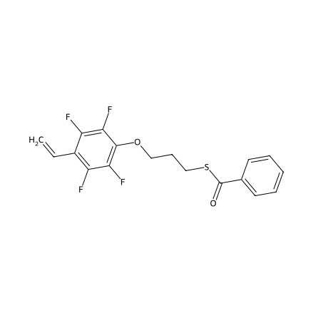 C=Cc1c(F)c(F)c(OCCCSC(=O)c2ccccc2)c(F)c1F